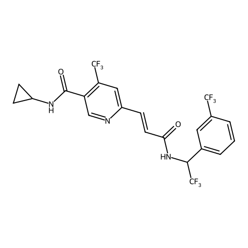 O=C(C=Cc1cc(C(F)(F)F)c(C(=O)NC2CC2)cn1)NC(c1cccc(C(F)(F)F)c1)C(F)(F)F